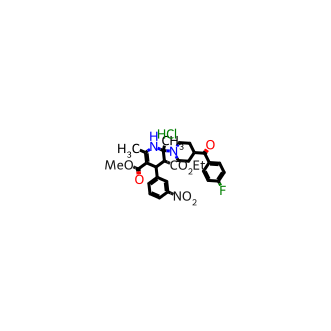 CCOC(=O)C1C(c2cccc([N+](=O)[O-])c2)C(C(=O)OC)=C(C)NC1(C)N1CCC(C(=O)c2ccc(F)cc2)CC1.Cl